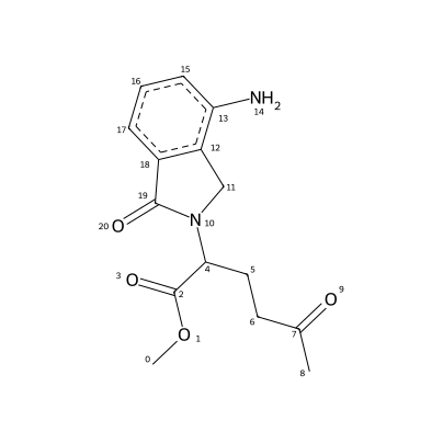 COC(=O)C(CCC(C)=O)N1Cc2c(N)cccc2C1=O